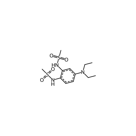 CCN(CC)c1ccc(NS(C)(=O)=O)c(NS(C)(=O)=O)c1